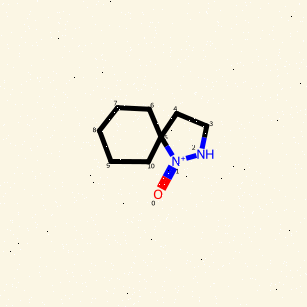 O=[N+]1NCCC12CCCCC2